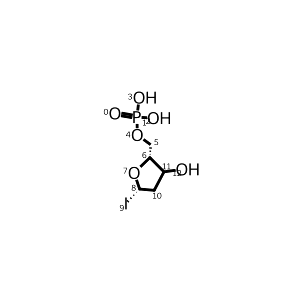 O=P(O)(O)OC[C@H]1O[C@@H](I)CC1O